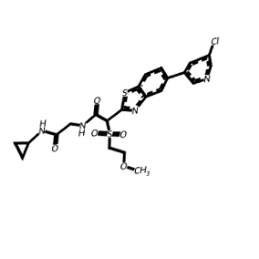 COCCS(=O)(=O)C(C(=O)NCC(=O)NC1CC1)c1nc2cc(-c3cncc(Cl)c3)ccc2s1